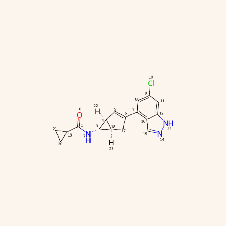 O=C(N[C@@H]1[C@H]2C=C(c3cc(Cl)cc4[nH]ncc34)C[C@H]21)C1CC1